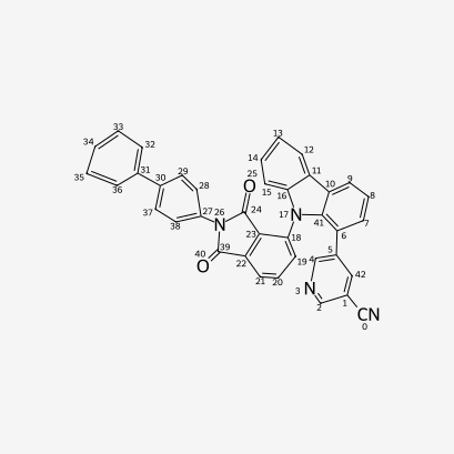 N#Cc1cncc(-c2cccc3c4ccccc4n(-c4cccc5c4C(=O)N(c4ccc(-c6ccccc6)cc4)C5=O)c23)c1